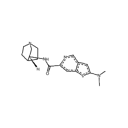 CN(C)c1cc2cnc(C(=O)N[C@H]3CN4CCC3CC4)cc2s1